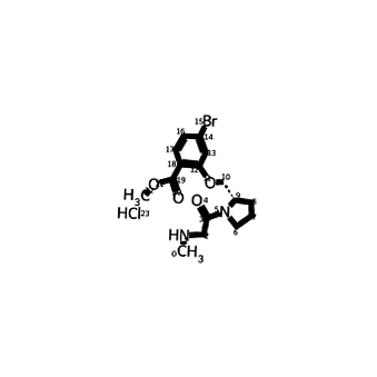 CNCC(=O)N1CCC[C@H]1COc1cc(Br)ccc1C(=O)OC.Cl